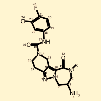 CN1CC(N)Cn2nc3c(c2C1=O)CN(C(=O)Nc1ccc(F)c(Cl)c1)CC3